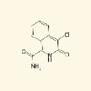 NC(=O)c1[nH]c(=O)c(Cl)c2ccccc12